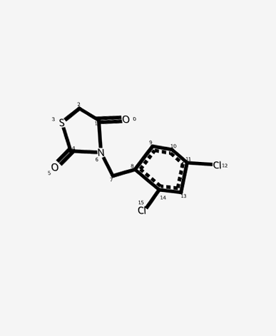 O=C1CSC(=O)N1Cc1ccc(Cl)cc1Cl